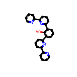 Oc1c(-c2cccc(-c3ccccn3)n2)cccc1-c1cccc(-c2ccccn2)n1